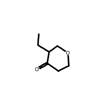 CCC1COCCC1=O